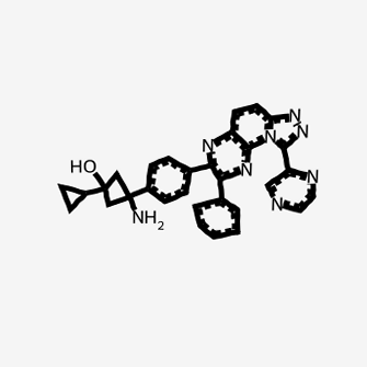 NC1(c2ccc(-c3nc4ccc5nnc(-c6cnccn6)n5c4nc3-c3ccccc3)cc2)CC(O)(C2CC2)C1